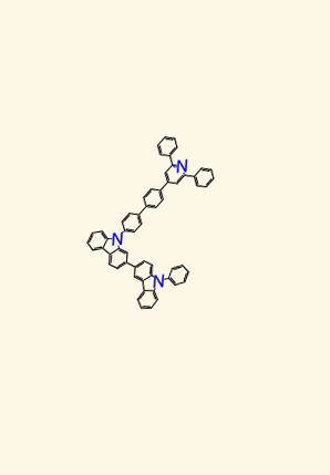 c1ccc(-c2cc(-c3ccc(-c4ccc(-n5c6ccccc6c6ccc(-c7ccc8c(c7)c7ccccc7n8-c7ccccc7)cc65)cc4)cc3)cc(-c3ccccc3)n2)cc1